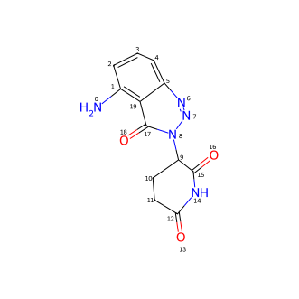 Nc1cccc2nnn(C3CCC(=O)NC3=O)c(=O)c12